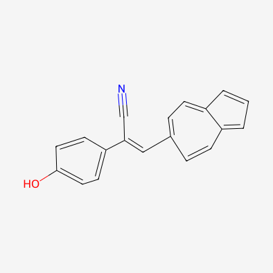 N#CC(=Cc1ccc2cccc-2cc1)c1ccc(O)cc1